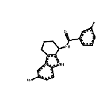 Cc1cccc(C(=O)NC2CCCc3c2[nH]c2ccc(Br)cc32)c1